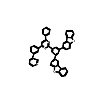 c1ccc(-c2cc(-c3cccc(-c4cccnc4)c3)nc(-c3cc(-c4ccc5oc6ccccc6c5c4)cc(-c4ccc5oc6ccccc6c5c4)c3)n2)cc1